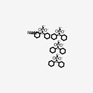 [Mo+4].[Mo+4].[Mo+4].[O-]P([O-])([S-])=S(C1CCCCC1)C1CCCCC1.[O-]P([O-])([S-])=S(C1CCCCC1)C1CCCCC1.[O-]P([O-])([S-])=S(C1CCCCC1)C1CCCCC1.[O-]P([O-])([S-])=S(C1CCCCC1)C1CCCCC1